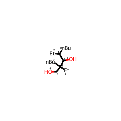 CCCCC(CC)C(O)C(CC)(CO)CCCC